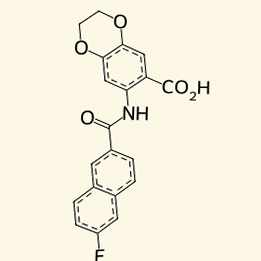 O=C(Nc1cc2c(cc1C(=O)O)OCCO2)c1ccc2cc(F)ccc2c1